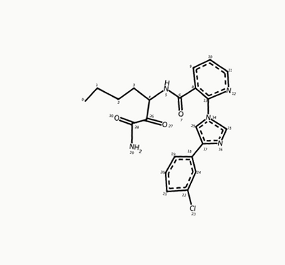 CCCCC(NC(=O)c1cccnc1-n1cnc(-c2cccc(Cl)c2)c1)C(=O)C(N)=O